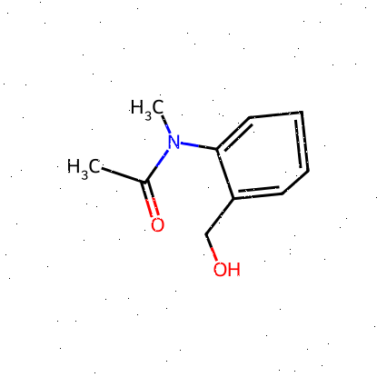 CC(=O)N(C)c1ccccc1CO